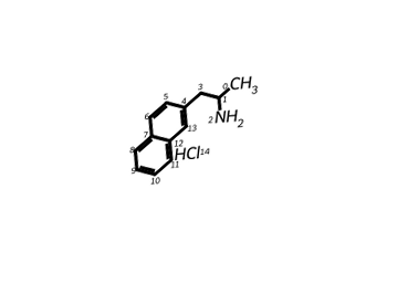 CC(N)Cc1ccc2ccccc2c1.Cl